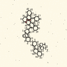 CC1(C)c2ccc(-c3ccc4oc5ccc(-c6c7ccccc7c(-c7ccccc7-c7cc8ccccc8c8ccccc78)c7ccccc67)cc5c4c3)cc2-c2ccc3ccccc3c21